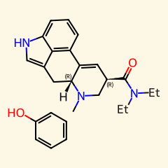 CCN(CC)C(=O)[C@@H]1C=C2c3cccc4[nH]cc(c34)C[C@H]2N(C)C1.Oc1ccccc1